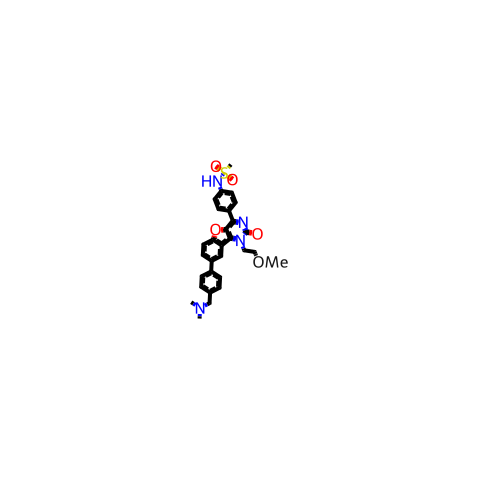 COCCn1c(=O)nc(-c2ccc(NS(C)(=O)=O)cc2)c2oc3ccc(-c4ccc(CN(C)C)cc4)cc3c21